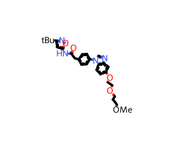 COCCCOCCOc1ccc2c(c1)ncn2-c1ccc(CC(=O)Nc2cc(C(C)(C)C)no2)cc1